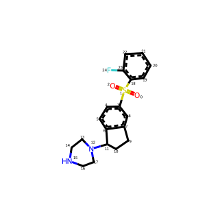 O=S(=O)(c1ccc2c(c1)CCC2N1CCNCC1)c1ccccc1F